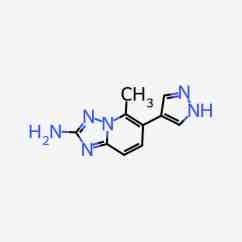 Cc1c(-c2cn[nH]c2)ccc2nc(N)nn12